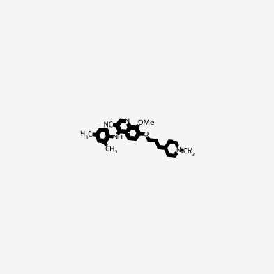 COc1c(OCCCC2CCN(C)CC2)ccc2c(Nc3ccc(C)cc3C)c(C#N)cnc12